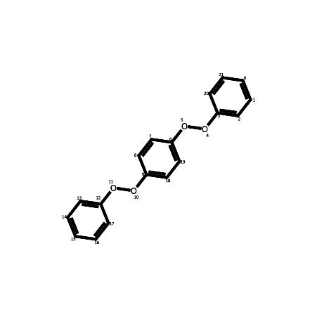 c1ccc(OOc2ccc(OOc3ccccc3)cc2)cc1